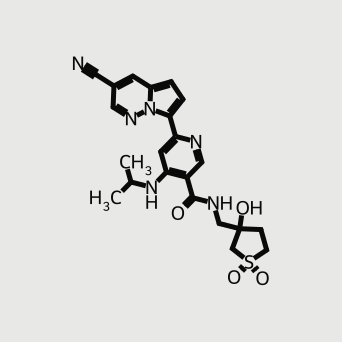 CC(C)Nc1cc(-c2ccc3cc(C#N)cnn23)ncc1C(=O)NCC1(O)CCS(=O)(=O)C1